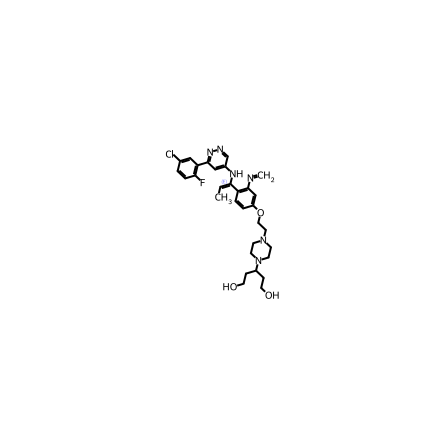 C=Nc1cc(OCCN2CCN(C(CCO)CCO)CC2)ccc1/C(=C\C)Nc1cnnc(-c2cc(Cl)ccc2F)c1